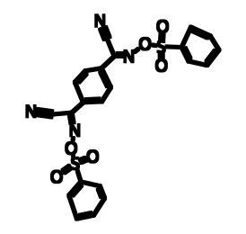 N#CC(=NOS(=O)(=O)c1ccccc1)c1ccc(C(C#N)=NOS(=O)(=O)c2ccccc2)cc1